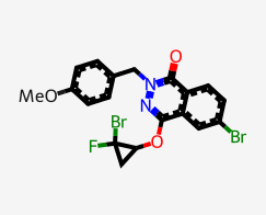 COc1ccc(Cn2nc(OC3CC3(F)Br)c3cc(Br)ccc3c2=O)cc1